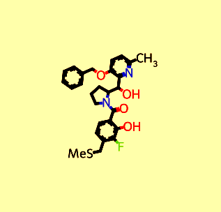 CSCc1ccc(C(=O)N2CCCC2C(O)c2nc(C)ccc2OCc2ccccc2)c(O)c1F